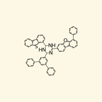 c1ccc(-c2cc(-c3ccccc3)cc(C3N=C(c4ccc5c(c4)oc4c(-c6ccccc6)cccc45)NC(c4cccc5c4sc4ccccc45)N3)c2)cc1